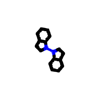 c1ccc2c(c1)ccn2-n1ccc2ccccc21